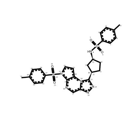 Cc1ccc(S(=O)(=O)N[C@H]2CC[C@@H](c3nnc4cnc5c(ccn5S(=O)(=O)c5ccc(C)cc5)n34)C2)cc1